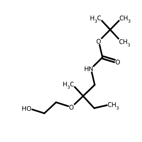 CCC(C)(CNC(=O)OC(C)(C)C)OCCO